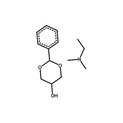 CCN(C)C.OC1COC(c2ccccc2)OC1